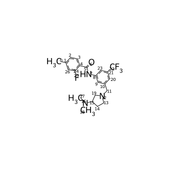 Cc1ccc(C(=O)Nc2cc(CN3CCC(N(C)C)C3)cc(C(F)(F)F)c2)c(F)c1